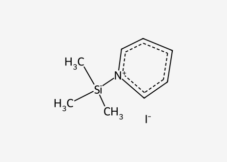 C[Si](C)(C)[n+]1ccccc1.[I-]